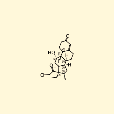 CC[C@]1(C(=O)CCl)[C@H](C)C[C@H]2[C@@H]3CCC4=CC(=O)CC[C@]4(C)[C@@]3(F)[C@@H](O)C[C@@]21C